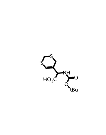 CC(C)(C)OC(=O)NC(C(=O)O)C1=CSCSC1